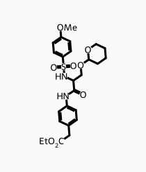 CCOC(=O)Cc1ccc(NC(=O)C(COC2CCCCO2)NS(=O)(=O)c2ccc(OC)cc2)cc1